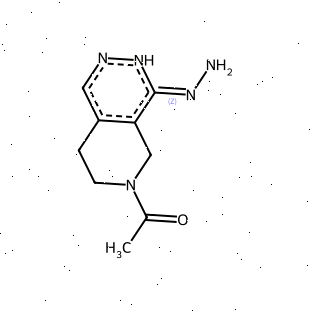 CC(=O)N1CCc2cn[nH]/c(=N\N)c2C1